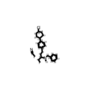 CC#N.CCC(CCc1ccc(C2CCC(Cl)CC2)cc1)N(C)Cc1ccccc1